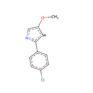 COc1cnc(-c2ccc(Cl)cc2)[se]1